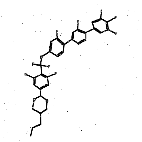 CCCC1COC(c2cc(F)c(C(F)(F)Oc3ccc(-c4ccc(-c5cc(F)c(F)c(F)c5)c(F)c4)c(F)c3)c(F)c2)OC1